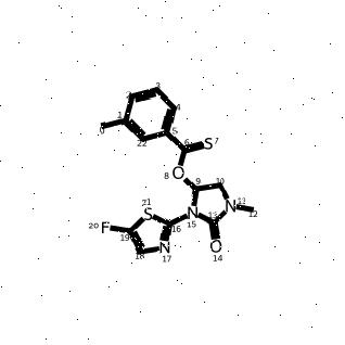 Cc1cccc(C(=S)OC2CN(C)C(=O)N2c2ncc(F)s2)c1